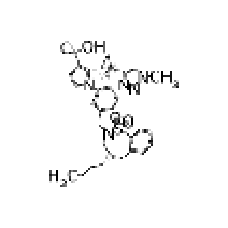 CCCC[C@H]1Cc2ccccc2S(=O)(=O)N(Cc2cccc(-n3ccc(C(=O)O)c3[C@@H]3C[C@H]3c3cn(C)nn3)c2)C1